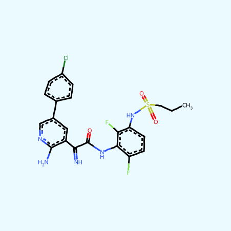 CCCS(=O)(=O)Nc1ccc(F)c(NC(=O)C(=N)c2cc(-c3ccc(Cl)cc3)cnc2N)c1F